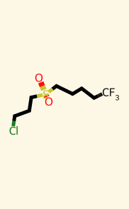 O=S(=O)(CCCCl)CCCCC(F)(F)F